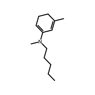 CCCCCN(C)C1=CCCC(C)=C1